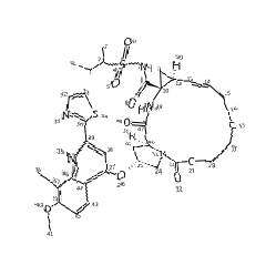 CCC(C)S(=O)(=O)NC(=O)[C@@]12C[C@H]1/C=C\CCCCCCC(=O)N1C[C@H](Oc3cc(-c4nccs4)nc4c(C)c(OC)ccc34)C[C@H]1C(=O)N2